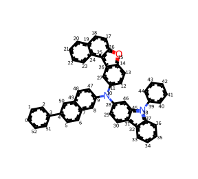 c1ccc(-c2ccc3cc(N(c4ccc5oc6ccc7ccccc7c6c5c4)c4ccc5c6ccccc6n(-c6ccccc6)c5c4)ccc3c2)cc1